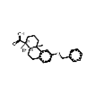 C[C@]1(C(=O)O)CCC[C@]2(C)c3cc(OCc4ccccc4)ccc3CC[C@@H]12